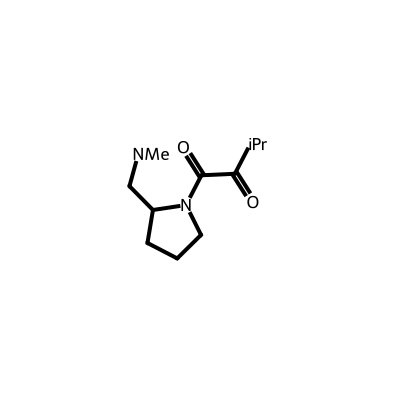 CNCC1CCCN1C(=O)C(=O)C(C)C